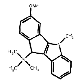 COc1ccc2c(c1)-c1c(c3ccccc3n1C)C2[Si](C)(C)C